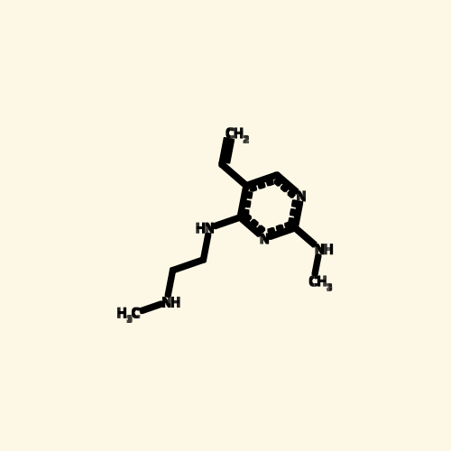 C=Cc1cnc(NC)nc1NCCNC